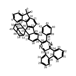 CC1(C)c2ccccc2-c2c1ccc1c2C2(c3ccc(-c4nc5c6ccccc6c6ccccc6c5nc4-c4ccccc4)cc3-1)C1CC3CC(C1)CC2C3